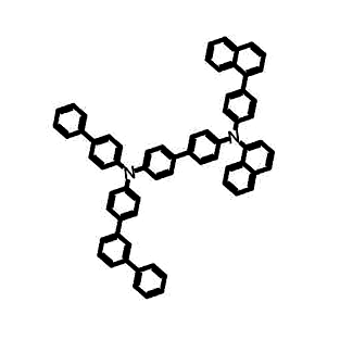 c1ccc(-c2ccc(N(c3ccc(-c4ccc(N(c5ccc(-c6cccc7ccccc67)cc5)c5cccc6ccccc56)cc4)cc3)c3ccc(-c4cccc(-c5ccccc5)c4)cc3)cc2)cc1